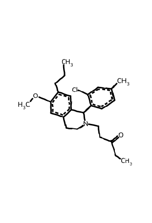 CCCc1cc2c(cc1OC)CCN(CCC(=O)CC)C2c1ccc(C)cc1Cl